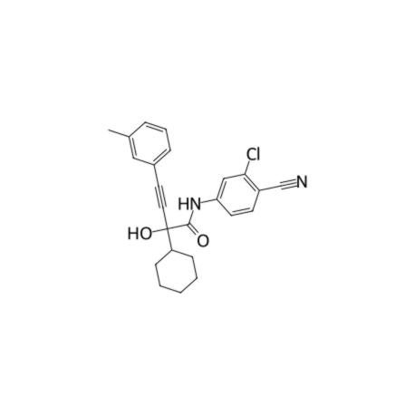 Cc1cccc(C#CC(O)(C(=O)Nc2ccc(C#N)c(Cl)c2)C2CCCCC2)c1